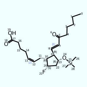 CCCCCC(=O)/C=C/[C@@H]1[C@@H](C/C=C\CCCC(=O)O)[C@@H](F)C[C@H]1O[Si](C)(C)C